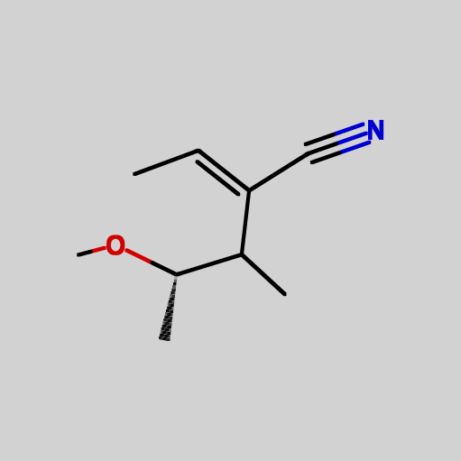 C/C=C(/C#N)C(C)[C@H](C)OC